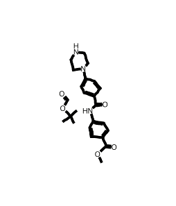 CC(C)(C)OC=O.COC(=O)c1ccc(NC(=O)c2ccc(N3CCNCC3)cc2)cc1